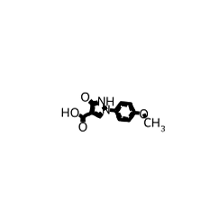 COc1ccc(-n2cc(C(=O)O)c(=O)[nH]2)cc1